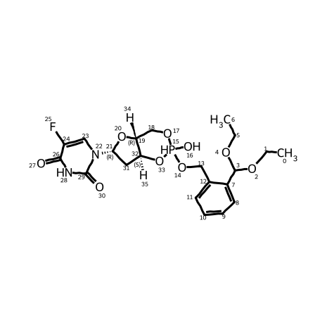 CCOC(OCC)c1ccccc1CO[PH]1(O)OC[C@H]2O[C@@H](n3cc(F)c(=O)[nH]c3=O)C[C@@H]2O1